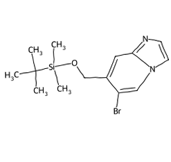 CC(C)(C)[Si](C)(C)OCc1cc2nccn2cc1Br